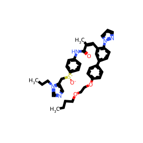 CCCCOCCOc1ccc(-c2ccc(-n3cccn3)c(C=C(C)C(=O)Nc3ccc([S@@+]([O-])Cc4cncn4CCC)cc3)c2)cc1